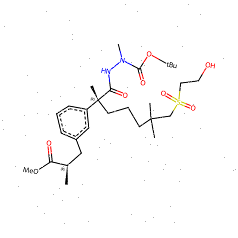 COC(=O)[C@H](C)Cc1cccc([C@@](C)(CCCC(C)(C)CS(=O)(=O)CCO)C(=O)NN(C)C(=O)OC(C)(C)C)c1